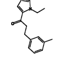 CCn1cccc1C(=O)CCc1cccc(C)c1